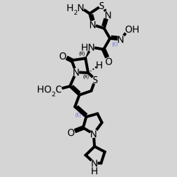 Nc1nc(/C(=N\O)C(=O)N[C@@H]2C(=O)N3C(C(=O)O)=C(/C=C4\CCN(C5CCNC5)C4=O)CS[C@H]23)ns1